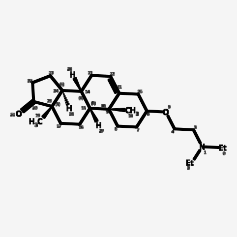 CCN(CC)CCOC1CC[C@@]2(C)C(=CC[C@@H]3[C@H]2CC[C@]2(C)C(=O)CC[C@@H]32)C1